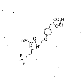 CCCNC(=O)N(CCCCCC(C)(F)F)CCOc1ccc(CC(OCC)C(=O)O)cc1